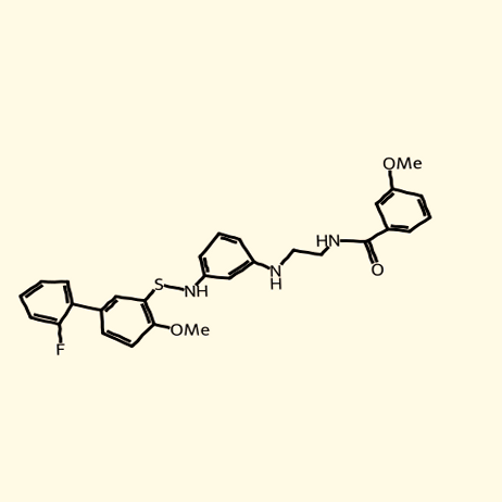 COc1cccc(C(=O)NCCNc2cccc(NSc3cc(-c4ccccc4F)ccc3OC)c2)c1